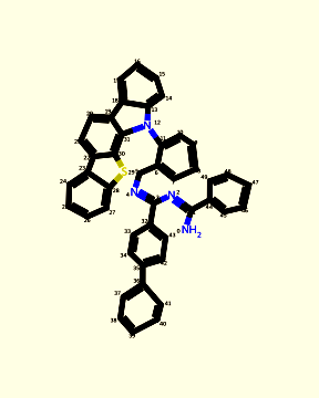 N/C(=N\C(=N/Cc1ccccc1-n1c2ccccc2c2ccc3c4ccccc4sc3c21)c1ccc(-c2ccccc2)cc1)c1ccccc1